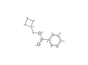 O=C(OCC1CCC1)c1ccccc1